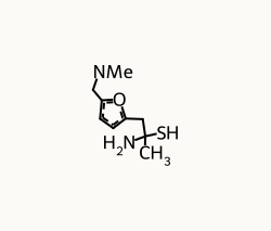 CNCc1ccc(CC(C)(N)S)o1